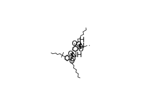 [CH2]CNS(=O)(=O)c1cc(NS(=O)(=O)c2cc(C(C)(C)CCCCC)ccc2OCCCCCCCC)ccc1OCCCCCCCC